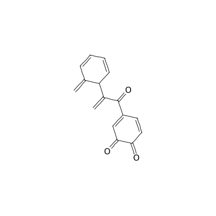 C=C1C=CC=CC1C(=C)C(=O)C1=CC(=O)C(=O)C=C1